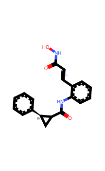 O=C(/C=C/c1ccccc1NC(=O)C1C[C@H]1c1ccccc1)NO